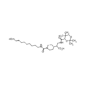 CCCCCCCCC=CCCCCCCCNC(=O)N1CCC(C(CNC(=O)C2OC(C)(C)OCC2(C)C)C(=O)O)CC1